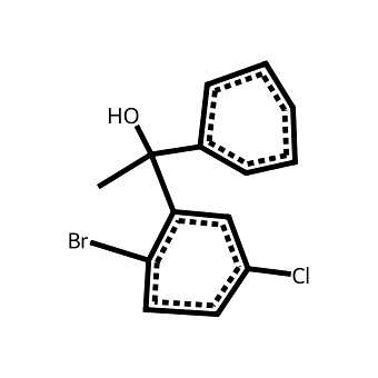 CC(O)(c1ccccc1)c1cc(Cl)ccc1Br